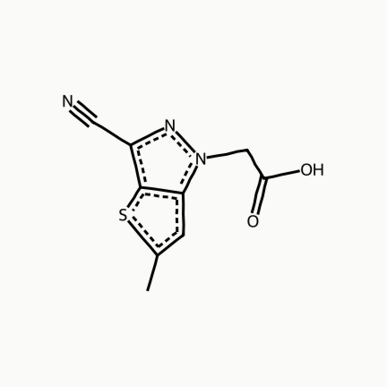 Cc1cc2c(s1)c(C#N)nn2CC(=O)O